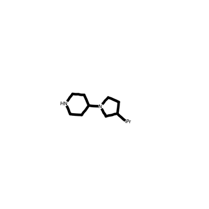 CC(C)C1CCN(C2CCNCC2)C1